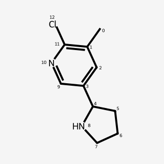 Cc1cc(C2CCCN2)cnc1Cl